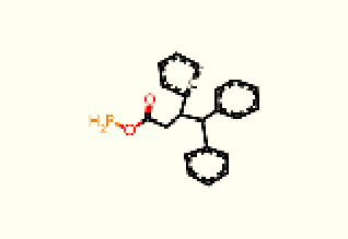 O=C(CC(c1ccccc1)C(c1ccccc1)c1ccccc1)OP